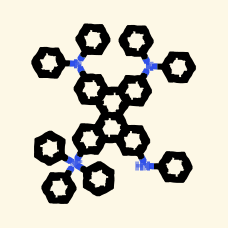 c1ccc(Nc2ccc3c(c2)c2cc([N+](c4ccccc4)(c4ccccc4)c4ccccc4)ccc2c2c4ccc(N(c5ccccc5)c5ccccc5)cc4c4cc(N(c5ccccc5)c5ccccc5)ccc4c32)cc1